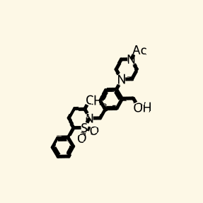 CC(=O)N1CCN(c2ccc(CN3C(C)CCC(c4ccccc4)S3(=O)=O)cc2CO)CC1